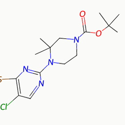 CSc1nc(N2CCN(C(=O)OC(C)(C)C)CC2(C)C)ncc1Cl